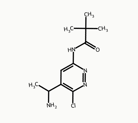 CC(N)c1cc(NC(=O)C(C)(C)C)nnc1Cl